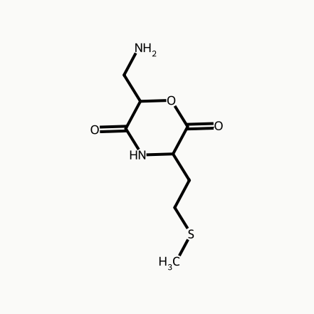 CSCCC1NC(=O)C(CN)OC1=O